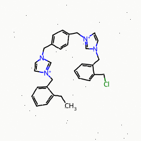 CCc1ccccc1C[n+]1ccn(Cc2ccc(C[n+]3ccn(Cc4ccccc4CCl)c3)cc2)c1